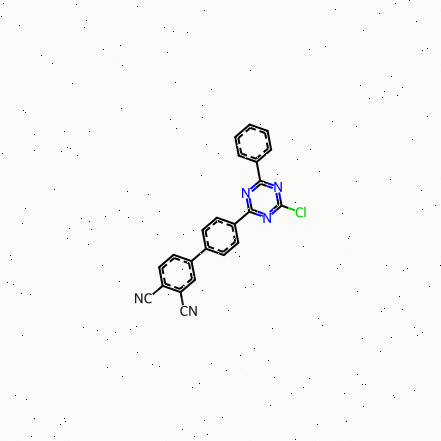 N#Cc1ccc(-c2ccc(-c3nc(Cl)nc(-c4ccccc4)n3)cc2)cc1C#N